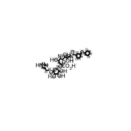 CC(=O)N[C@H]1[C@H]([C@H](O)[C@H](O)CNC(=O)c2cccc(Oc3ccccc3)c2)O[C@@](OC[C@H]2O[C@@H](OCCc3c[nH]nn3)[C@H](O)[C@@H](O)[C@H]2O)(C(=O)O)C[C@@H]1O